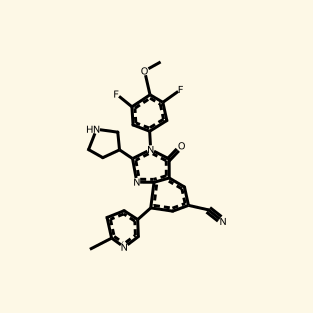 COc1c(F)cc(-n2c(C3CCNC3)nc3c(-c4ccc(C)nc4)cc(C#N)cc3c2=O)cc1F